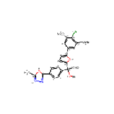 CCOC(C=O)(c1ccc(-c2nnc(C)o2)cc1)c1ccc(-c2cc(OC)c(Br)c(OC)c2)o1